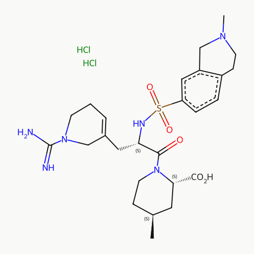 C[C@H]1CCN(C(=O)[C@H](CC2=CCCN(C(=N)N)C2)NS(=O)(=O)c2ccc3c(c2)CN(C)CC3)[C@H](C(=O)O)C1.Cl.Cl